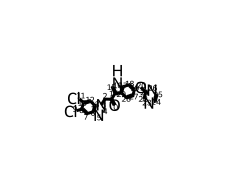 O=C(Cn1cnc2cc(Cl)c(Cl)cc21)c1c[nH]c2cc(Oc3cnccn3)ccc12